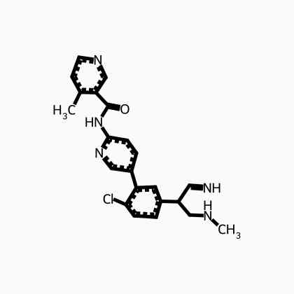 CNCC(C=N)c1ccc(Cl)c(-c2ccc(NC(=O)c3cnccc3C)nc2)c1